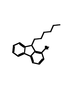 CCCCCCC1c2ccccc2-c2cccc(Br)c21